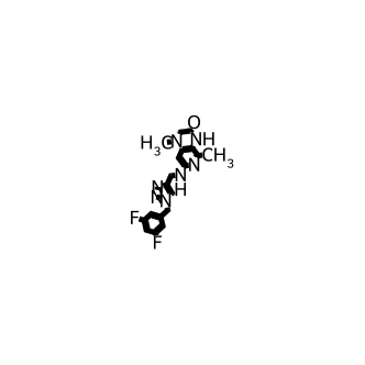 Cc1nc(NCc2cn(Cc3cc(F)cc(F)c3)nn2)cc2c1NC(=O)CN2C